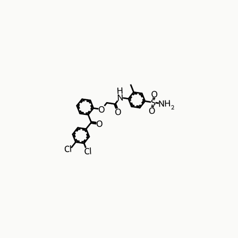 Cc1cc(S(N)(=O)=O)ccc1NC(=O)COc1ccccc1C(=O)c1ccc(Cl)c(Cl)c1